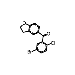 O=C(c1ccc2c(c1)CCO2)c1cc(Br)ccc1Cl